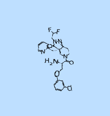 N[C@H](COc1cccc(Cl)c1)C(=O)N1CCC2=NN(CC(F)F)C(=O)[C@]2(Cc2ccccn2)C1